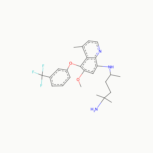 COc1cc(NC(C)CCC(C)(C)N)c2nccc(C)c2c1Oc1cccc(C(F)(F)F)c1